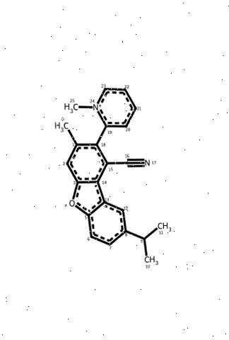 Cc1cc2oc3ccc(C(C)C)cc3c2c(C#N)c1-c1cccc[n+]1C